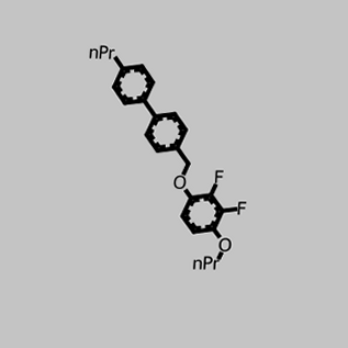 CCCOc1ccc(OCc2ccc(-c3ccc(CCC)cc3)cc2)c(F)c1F